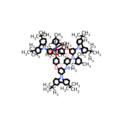 Cc1cc(C)c(N2c3cc4c(cc3B3c5cc6c(cc5Oc5cc(-n7c8ccc(C(C)(C)C)cc8c8cc(C(C)(C)C)ccc87)cc2c53)N(c2c(C)cc(C)cc2C)c2cc(-n3c5ccc(C(C)(C)C)cc5c5cc(C(C)(C)C)ccc53)cc3c2B6c2cc(C(C)(C)C)ccc2O3)B2c3cc(C(C)(C)C)ccc3Oc3cc(-n5c6ccc(C(C)(C)C)cc6c6cc(C(C)(C)C)ccc65)cc(c32)N4)c(C)c1